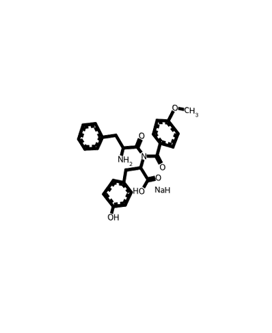 COc1ccc(C(=O)N(C(=O)C(N)Cc2ccccc2)C(Cc2ccc(O)cc2)C(=O)O)cc1.[NaH]